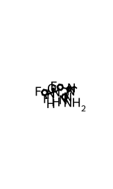 CCn1cc(-c2ccc(F)c(NC(=O)Nc3ccc(F)cc3F)c2)c(-c2ccnc(N)n2)n1